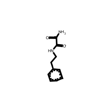 NC(=O)C(=O)NCCc1ccccc1